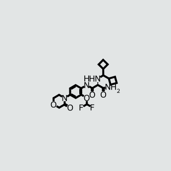 NC(=O)[C@@H](NC(C1CCC1)C1CCC1)C(=O)Nc1ccc(N2CCOCC2=O)cc1OC(F)F